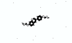 COCOc1ccc([C@@H]2COc3cc(OCOC)ccc3C2)cc1